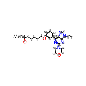 CNC(=O)CCCCCOc1cccc(-c2nc(N3CCOCC3)nc3c2ncn3C(C)C)c1